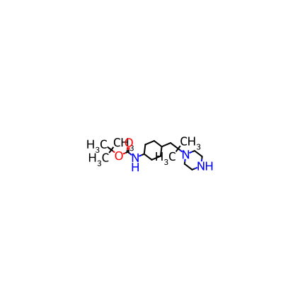 CC(C)(C)OC(=O)NC1CCC(CC(C)(C)N2CCNCC2)CC1